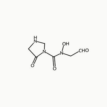 O=CCN(O)C(=O)N1CNCC1=O